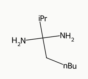 CCCCCC(N)(N)C(C)C